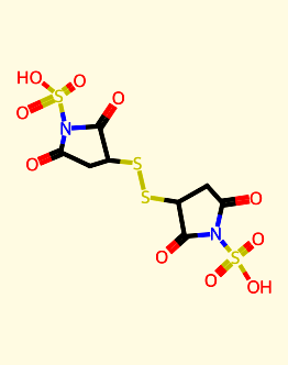 O=C1CC(SSC2CC(=O)N(S(=O)(=O)O)C2=O)C(=O)N1S(=O)(=O)O